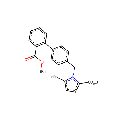 CCCc1ccc(C(=O)OCC)n1Cc1ccc(-c2ccccc2C(=O)OC(C)(C)C)cc1